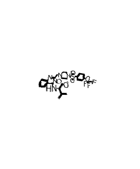 COC(=O)[C@@H](Nc1nc(CN2CCN(S(=O)(=O)c3ccc(OC(F)(F)F)cc3)CC2)nc2ccccc12)C(C)C